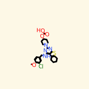 COc1ccc(CNc2nc(N3CCC(OC(=O)O)CC3)nc3sc4c(c23)CCCC4)cc1Cl